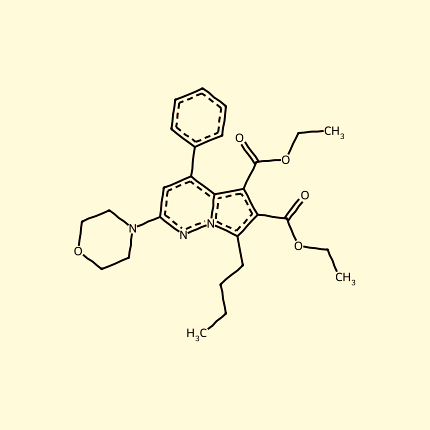 CCCCc1c(C(=O)OCC)c(C(=O)OCC)c2c(-c3ccccc3)cc(N3CCOCC3)nn12